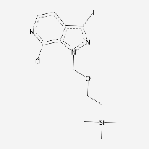 C[Si](C)(C)CCOCn1nc(I)c2ccnc(Cl)c21